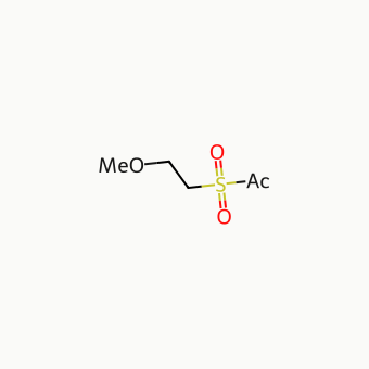 COCCS(=O)(=O)C(C)=O